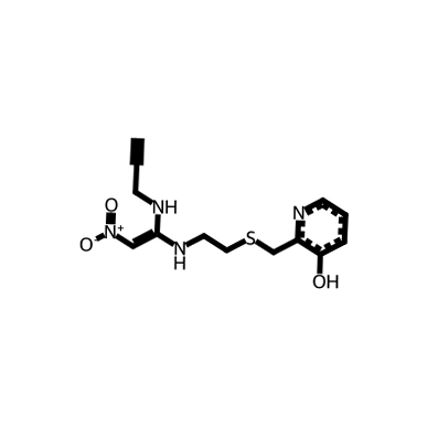 C#CCNC(=C[N+](=O)[O-])NCCSCc1ncccc1O